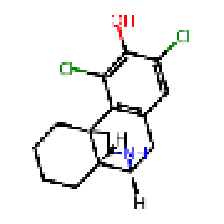 Oc1c(Cl)cc2c(c1Cl)[C@@]13CCCC[C@H]1[C@@H](C2)NCC3